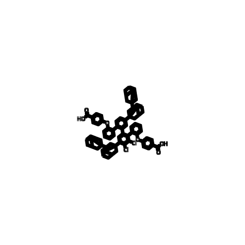 O=C(O)c1ccc(Oc2ccccc2-c2ccc(C34CC5CC(C3)CC(C36CC7CC(CC(C7)C3)C6)(C5)C4)cc2-c2cc(C34CC5CC(C3)CC(C36CC7CC(CC(C7)C3)C6)(C5)C4)c(Cl)c(Cl)c2-c2ccccc2Oc2ccc(C(=O)O)cc2)cc1